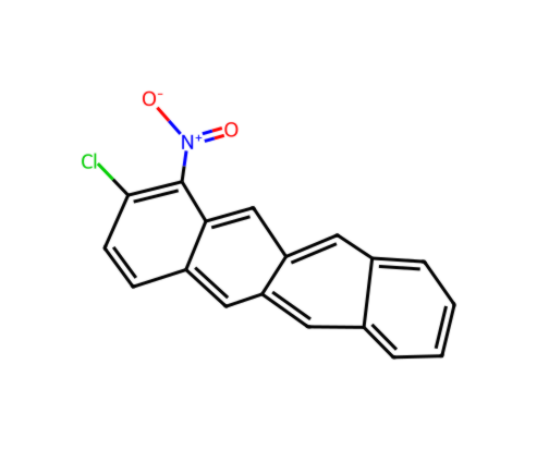 O=[N+]([O-])c1c(Cl)ccc2cc3cc4ccccc4cc3cc12